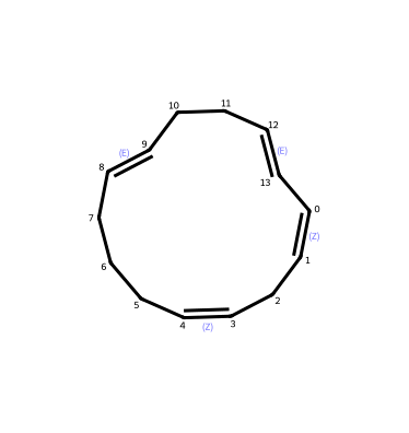 C1=C\C/C=C\CCC/C=C/CC/C=C/1